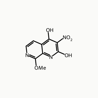 COc1nccc2c(O)c([N+](=O)[O-])c(O)nc12